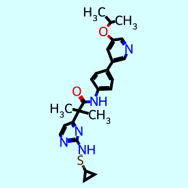 CC(C)Oc1cncc(-c2ccc(NC(=O)C(C)(C)c3ccnc(NSC4CC4)n3)cc2)c1